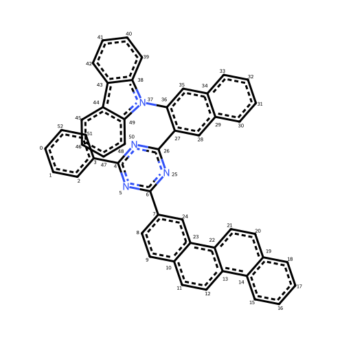 c1ccc(-c2nc(-c3ccc4ccc5c6ccccc6ccc5c4c3)nc(-c3cc4ccccc4cc3-n3c4ccccc4c4ccccc43)n2)cc1